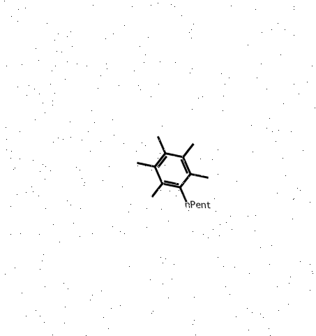 [CH2]CCCCc1c(C)c(C)c(C)c(C)c1C